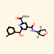 CNC(=O)c1cc(C(=O)NC2[C@H]3COC[C@@H]23)cc(C(O)c2cccc(C)c2)n1